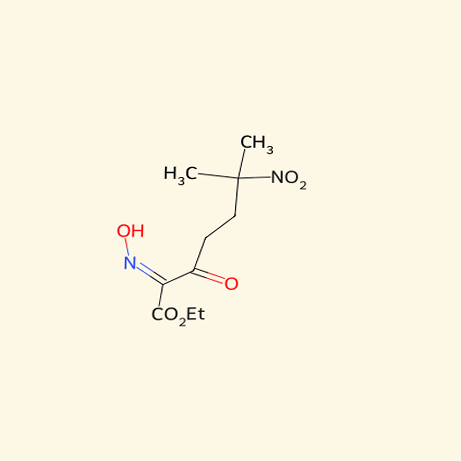 CCOC(=O)C(=NO)C(=O)CCC(C)(C)[N+](=O)[O-]